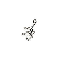 COc1cc2c(C(O)(C(=O)O)c3cnc(N)s3)ncnc2cc1OCCCN1CCOCC1